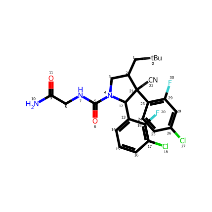 CC(C)(C)CC1CN(C(=O)NCC(N)=O)C(c2cccc(Cl)c2F)C1(C#N)c1ccc(Cl)cc1F